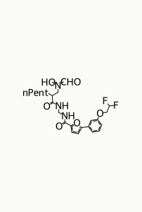 CCCCCC(CN(O)C=O)C(=O)NCNC(=O)c1ccc(-c2cccc(OCC(F)F)c2)o1